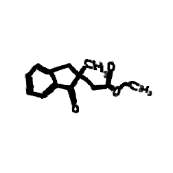 COC(=O)CC1(C)Cc2ccccc2C1=O